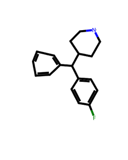 Fc1ccc(C(c2ccccc2)C2CC[N]CC2)cc1